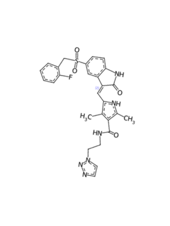 Cc1[nH]c(/C=C2\C(=O)Nc3ccc(S(=O)(=O)Cc4ccccc4F)cc32)c(C)c1C(=O)NCCn1ccnn1